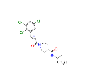 CC(NC(=O)C1CCN(C(=O)/C=C/c2cc(Cl)cc(Cl)c2Cl)CC1)C(=O)O